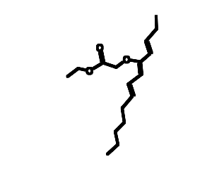 CCC=CC(=CC=CCCCCC)OCC(=O)OCC